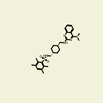 Cc1cc(C)c(C)c(S(=O)(=O)NC[C@H]2CC[C@H](CNc3nc(N(C)C)c4ccccc4n3)CC2)c1C